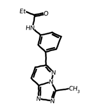 CCC(=O)Nc1cccc(-c2ccc3nnc(C)n3n2)c1